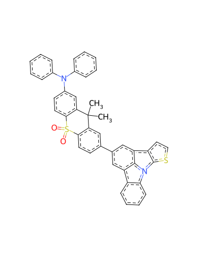 CC1(C)c2cc(-c3cc4c5ccccc5n5c6sccc6c(c3)c45)ccc2S(=O)(=O)c2ccc(N(c3ccccc3)c3ccccc3)cc21